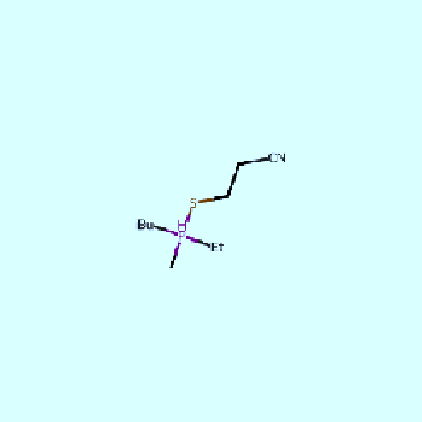 CCC(C)[PH](C)(CC)SCCC#N